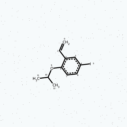 C=Cc1cc(I)ccc1OC(C)C